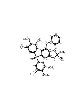 COc1c(C)cc(P(=O)(c2cc(C)c(OC)c(C)c2)c2cc(Oc3ccccc3)c3c(c2I)OC(C)(C)O3)cc1C